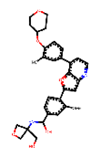 COc1cc(C(O)NC2(CO)COC2)ccc1-c1cc2nccc(-c3ccc(OC4CCOCC4)c(C#N)c3)c2o1